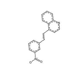 O=[N+]([O-])c1cccc(/C=C/c2ccnc3ccccc23)c1